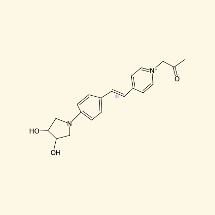 CC(=O)C[n+]1ccc(/C=C/c2ccc(N3CC(O)C(O)C3)cc2)cc1